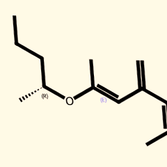 C=C(/C=C\C)/C=C(\C)O[C@H](C)CCC